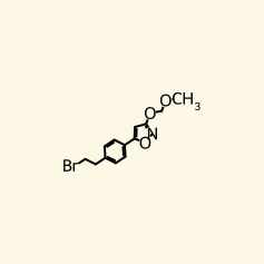 COCOc1cc(-c2ccc(CCBr)cc2)on1